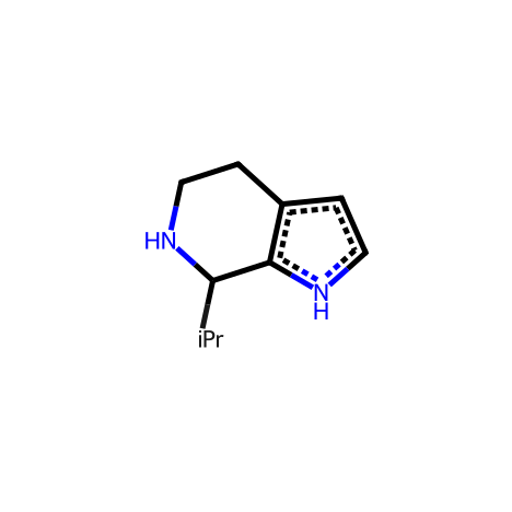 CC(C)C1NCCc2cc[nH]c21